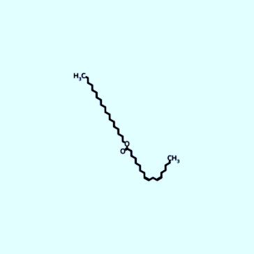 CCCCC/C=C\C/C=C\CCCCCCCC(=O)OCCCCCCCCCCCCCCCCCCC